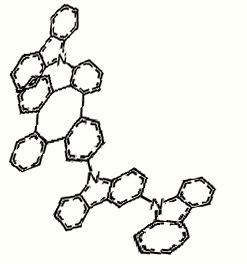 c1ccc2c(c1)-c1cc(-n3c4ccccc4c4cc(-n5c6ccccc6c6ccccc65)ccc43)ccc1-c1cccc(-n3c4ccccc4c4ccccc43)c1-c1ccccc1-2